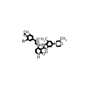 COc1ccc([C@@H](O)CNc2cc[nH]c(=O)c2-c2nc3c(C)cc(N4CCO[C@@H](C)C4)cc3[nH]2)cc1Br